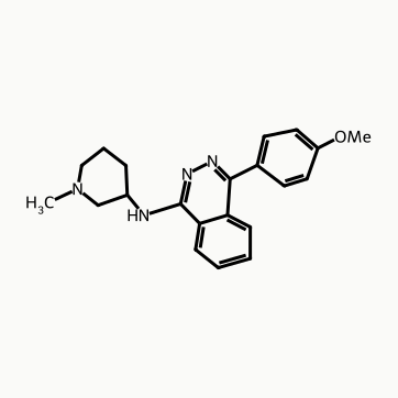 COc1ccc(-c2nnc(NC3CCCN(C)C3)c3ccccc23)cc1